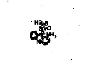 O=CS(=O)(=O)O.[N-]=[N+](c1ccccc1N)c1ccccc1N